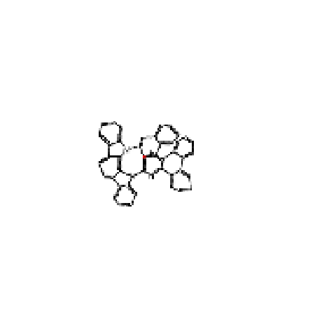 c1ccc2cc(-n3c4ccccc4c4ccc5c6ccccc6n(-c6cnc7c8ccccc8c8ccccc8c7n6)c5c43)ccc2c1